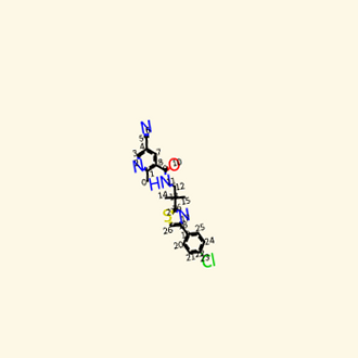 Cc1ncc(C#N)cc1C(=O)NCC(C)(C)c1nc(-c2ccc(Cl)cc2)cs1